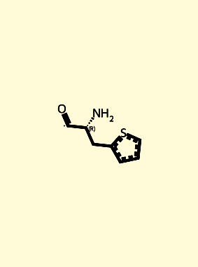 N[C@@H]([C]=O)Cc1cccs1